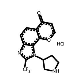 Cl.O=c1ccoc2c1ccc1nc(C(F)(F)F)n(C3CCNC3)c12